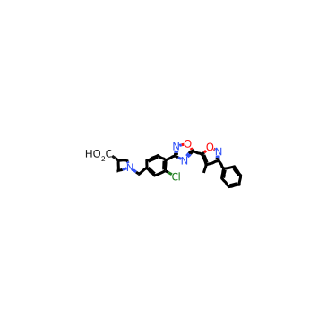 Cc1c(-c2ccccc2)noc1-c1nc(-c2ccc(CN3CC(C(=O)O)C3)cc2Cl)no1